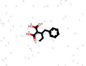 CCC(Cc1ccccc1)C(C(=O)O)C(=O)O